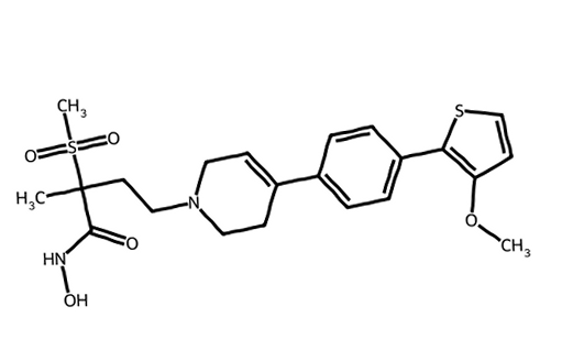 COc1ccsc1-c1ccc(C2=CCN(CCC(C)(C(=O)NO)S(C)(=O)=O)CC2)cc1